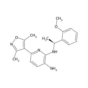 COc1ccccc1[C@H](C)Nc1nc(-c2c(C)noc2C)ccc1N